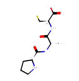 C[C@H](NC(=O)[C@@H]1CCCN1)C(=O)N[C@@H](CS)C(=O)O